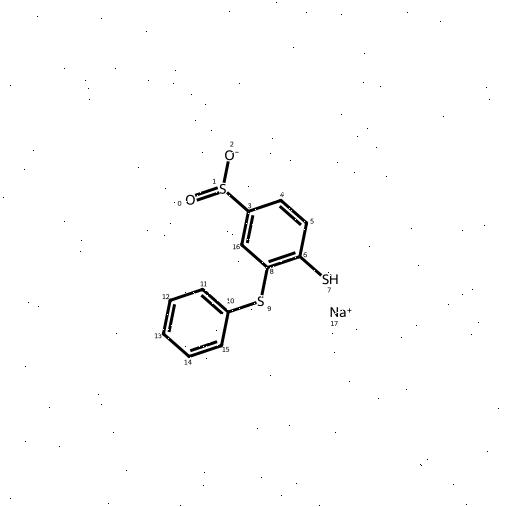 O=S([O-])c1ccc(S)c(Sc2ccccc2)c1.[Na+]